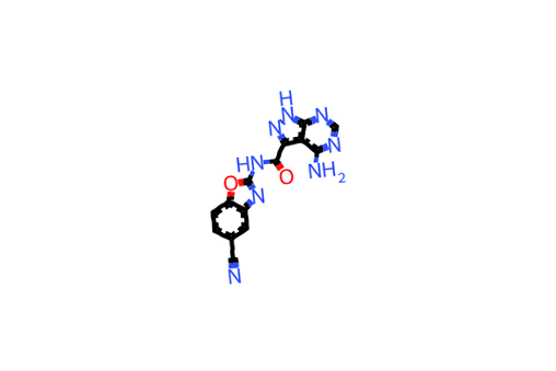 N#Cc1ccc2oc(NC(=O)c3n[nH]c4ncnc(N)c34)nc2c1